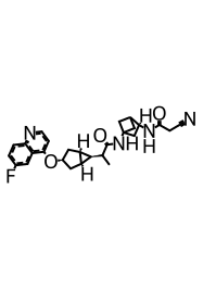 CC(C(=O)NC12CC(C1)[C@@H](NC(=O)CC#N)C2)[C@H]1[C@@H]2C[C@@H](Oc3ccnc4ccc(F)cc34)C[C@@H]21